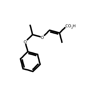 CC(=COC(C)Oc1ccccc1)C(=O)O